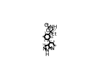 CCC1(c2cccc(-c3ccnc4[nH]ncc34)c2)CNC(=O)O1